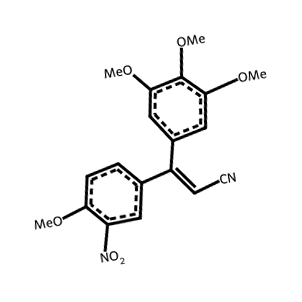 COc1ccc(C(=CC#N)c2cc(OC)c(OC)c(OC)c2)cc1[N+](=O)[O-]